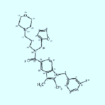 Cc1c(C)n(Cc2cccc(F)c2)c2ccc(C(=O)N(CCCN3CCOCC3)Cc3ccco3)cc12